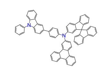 c1ccc(-n2c3ccccc3c3cc(-c4ccc(N(c5ccc6c(c5)C5(c7ccccc7-c7ccccc75)c5ccccc5-6)c5ccc6c7ccccc7c7ccccc7c6c5)cc4)ccc32)cc1